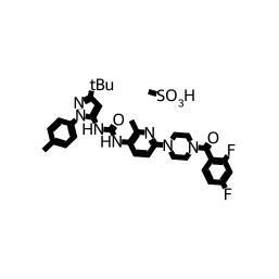 CS(=O)(=O)O.Cc1ccc(-n2nc(C(C)(C)C)cc2NC(=O)Nc2ccc(N3CCN(C(=O)c4ccc(F)cc4F)CC3)nc2C)cc1